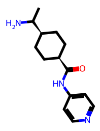 CC(N)[C@H]1CC[C@@H](C(=O)Nc2ccncc2)CC1